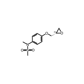 CN(c1ccc(OC[C@@H]2CO2)cc1)S(C)(=O)=O